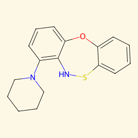 c1ccc2s[nH]c3c(N4CCCCC4)cccc3oc2c1